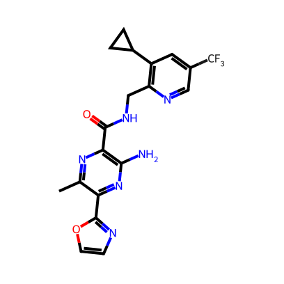 Cc1nc(C(=O)NCc2ncc(C(F)(F)F)cc2C2CC2)c(N)nc1-c1ncco1